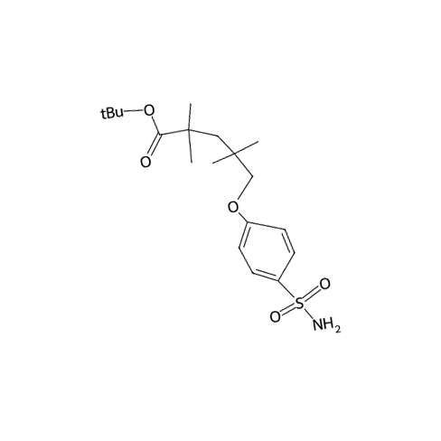 CC(C)(COc1ccc(S(N)(=O)=O)cc1)CC(C)(C)C(=O)OC(C)(C)C